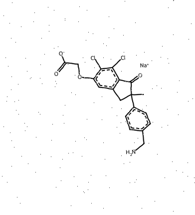 CC1(c2ccc(CN)cc2)Cc2cc(OCC(=O)[O-])c(Cl)c(Cl)c2C1=O.[Na+]